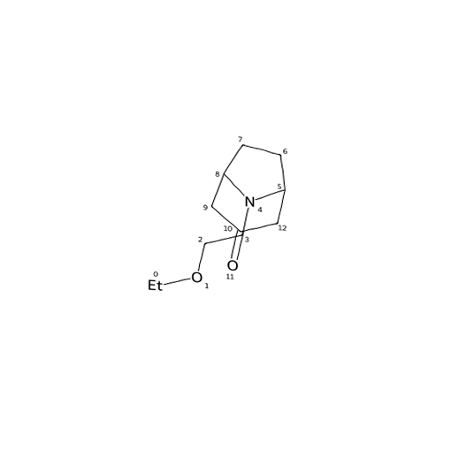 CCOCCN1C2CCC1CC(=O)C2